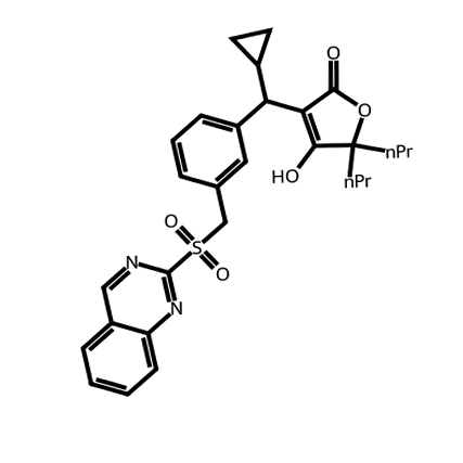 CCCC1(CCC)OC(=O)C(C(c2cccc(CS(=O)(=O)c3ncc4ccccc4n3)c2)C2CC2)=C1O